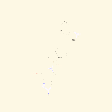 Cn1cc(CN(CCO)S(=O)(=O)c2ccc(-c3c[nH]c4cc(F)ccc34)cc2)cn1